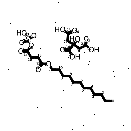 CCCCCCCCCCCCOC(=O)CCC(=O)OS(=O)(=O)O.O=C(O)CC(O)(CC(=O)O)C(=O)O